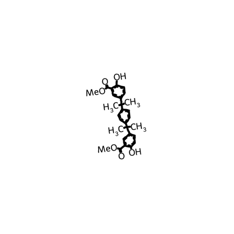 COC(=O)c1cc(C(C)(C)c2ccc(C(C)(C)c3ccc(O)c(C(=O)OC)c3)cc2)ccc1O